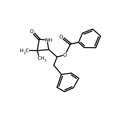 CC1(C)C(=O)NC1C(Cc1ccccc1)OC(=O)c1ccccc1